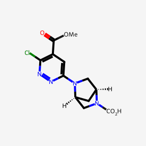 COC(=O)c1cc(N2C[C@@H]3C[C@H]2CN3C(=O)O)nnc1Cl